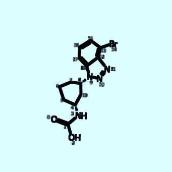 O=C(O)N[C@@H]1CCC[C@H](n2nnc3c(Br)cccc32)C1